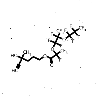 C#CC(C)(O)CCCOC(=O)C(F)(OC(F)(F)C(F)(OC(F)(F)C(F)(F)C(F)(F)F)C(F)(F)F)C(F)(F)F